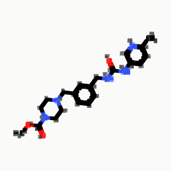 COC(=O)N1CCN(Cc2cccc(CNC(=O)Nc3ccc(C)nc3)c2)CC1